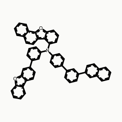 c1cc(-c2ccc(N(c3cccc(-c4ccc5c(c4)oc4ccccc45)c3)c3cccc4oc5c6ccccc6ccc5c34)cc2)cc(-c2ccc3ccccc3c2)c1